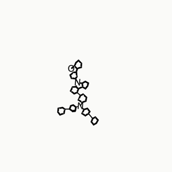 c1c(-c2ccccc2)ccc(N(c2ccc(-c3ccccc3)cc2)c2cccc(-c3cccc4c3c3ccccc3n4-c3ccc4oc5ccccc5c4c3)c2)c#1